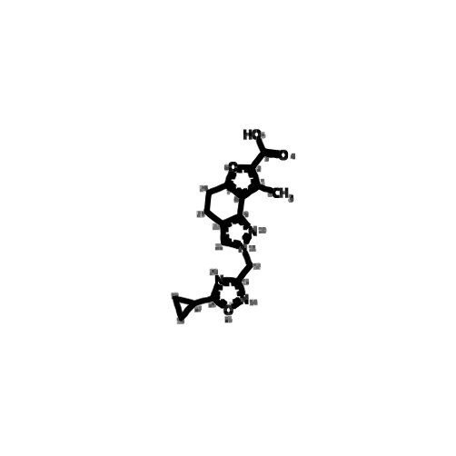 Cc1c(C(=O)O)oc2c1-c1nn(Cc3noc(C4CC4)n3)cc1CC2